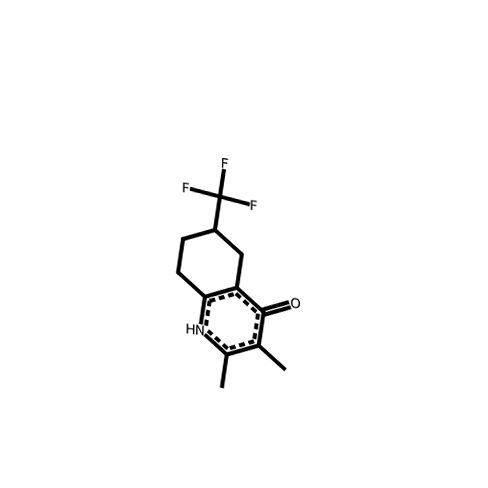 Cc1[nH]c2c(c(=O)c1C)CC(C(F)(F)F)CC2